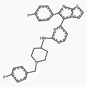 Fc1ccc(CN2CCC(Nc3nccc(-c4c(-c5ccc(F)cc5)nc5sccn45)n3)CC2)cc1